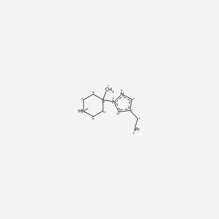 CC(C)Cc1cnn(C2(C)CCNCC2)c1